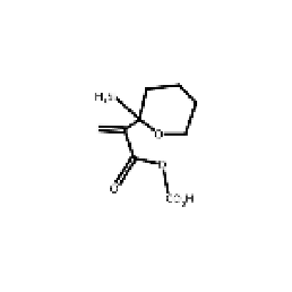 C=C(C(=O)OC(=O)O)C1([SiH3])CCCCO1